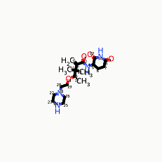 C=C(C(=O)NC1CCC(=O)NC1=O)C(C)(C)[C@H](C)OCCN1CCNCC1